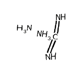 N.N.N=C=N